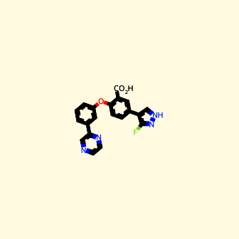 O=C(O)c1cc(-c2c[nH]nc2F)ccc1Oc1cccc(-c2cnccn2)c1